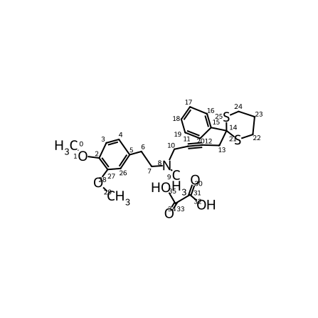 COc1ccc(CCN(C)CC#CCC2(c3ccccc3)SCCCS2)cc1OC.O=C(O)C(=O)O